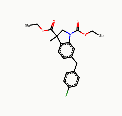 CC(C)(C)COC(=O)N1CC(C)(C(=O)OCC(C)(C)C)c2ccc(Cc3ccc(F)cc3)cc21